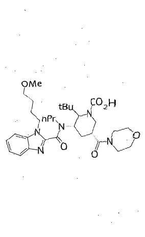 CCCN(C(=O)c1nc2ccccc2n1CCCCOC)[C@H]1C[C@@H](C(=O)N2CCOCC2)CN(C(=O)O)C1C(C)(C)C